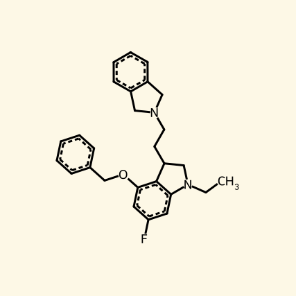 CCN1CC(CCN2Cc3ccccc3C2)c2c(OCc3ccccc3)cc(F)cc21